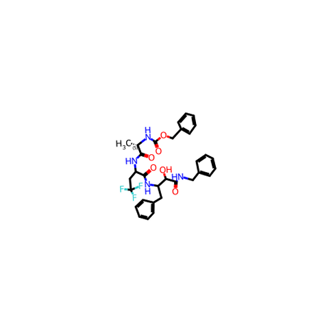 C[C@H](NC(=O)OCc1ccccc1)C(=O)NC(CC(F)(F)F)C(=O)NC(Cc1ccccc1)C(O)C(=O)NCc1ccccc1